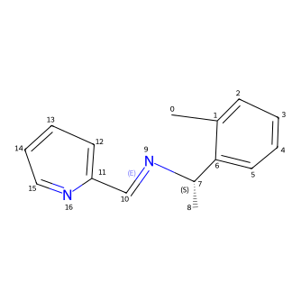 Cc1ccccc1[C@H](C)/N=C/c1ccccn1